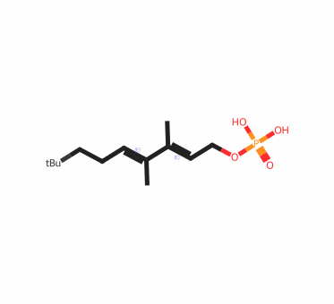 CC(=C\CCC(C)(C)C)/C(C)=C/COP(=O)(O)O